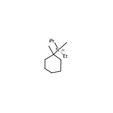 CC[Si@@](C)(C(C)C)C1(C)CCCCC1